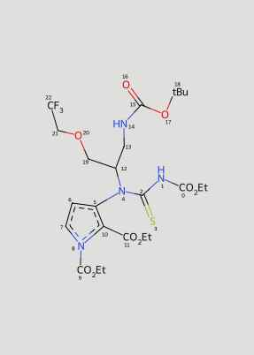 CCOC(=O)NC(=S)N(c1ccn(C(=O)OCC)c1C(=O)OCC)C(CNC(=O)OC(C)(C)C)COCC(F)(F)F